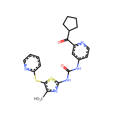 O=C(Nc1ccnc(C(=O)C2CCCC2)c1)Nc1nc(C(=O)O)c(Sc2ccccn2)s1